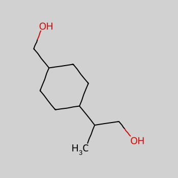 CC(CO)C1CCC(CO)CC1